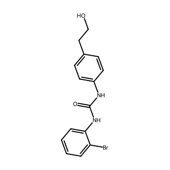 O=C(Nc1ccc(CCO)cc1)Nc1ccccc1Br